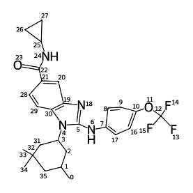 CC1CC(n2c(Nc3ccc(OC(F)(F)F)cc3)nc3cc(C(=O)NC4CC4)ccc32)CC(C)(C)C1